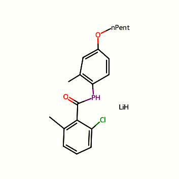 CCCCCOc1ccc(PC(=O)c2c(C)cccc2Cl)c(C)c1.[LiH]